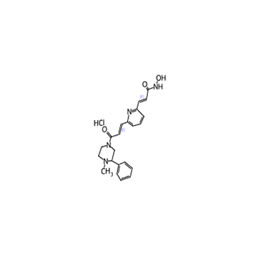 CN1CCN(C(=O)/C=C/c2cccc(/C=C/C(=O)NO)n2)CC1c1ccccc1.Cl